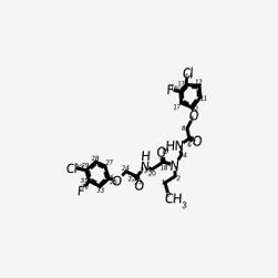 CCCN(CNC(=O)COc1ccc(Cl)c(F)c1)C(=O)CNC(=O)COc1ccc(Cl)c(F)c1